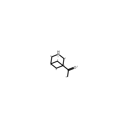 CC(=O)C12CNCC(C1)C2